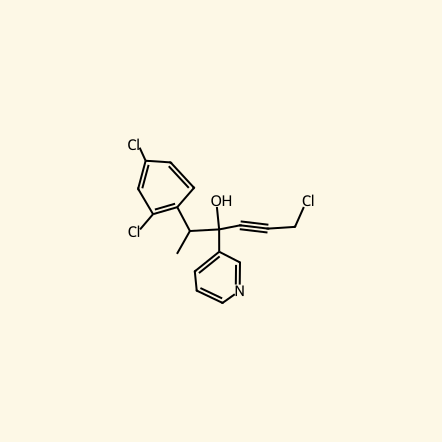 CC(c1ccc(Cl)cc1Cl)C(O)(C#CCCl)c1cccnc1